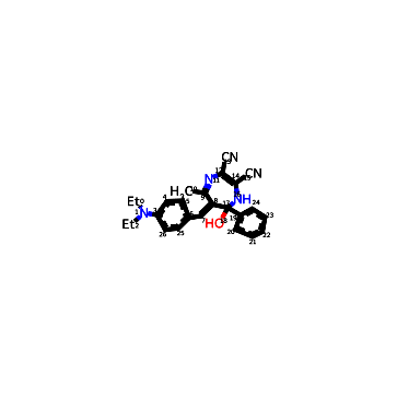 CCN(CC)c1ccc(C=C2C(C)=NC(C#N)=C(C#N)NC2(O)c2ccccc2)cc1